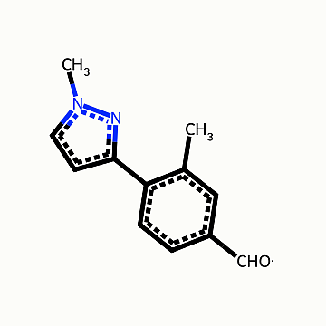 Cc1cc([C]=O)ccc1-c1ccn(C)n1